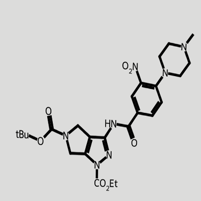 CCOC(=O)n1nc(NC(=O)c2ccc(N3CCN(C)CC3)c([N+](=O)[O-])c2)c2c1CN(C(=O)OC(C)(C)C)C2